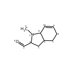 CN1C(C=O)CC2CCC=CC21